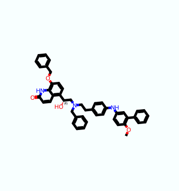 COc1ccc(Nc2ccc(CCN(Cc3ccccc3)C[C@H](O)c3ccc(OCc4ccccc4)c4[nH]c(=O)ccc34)cc2)cc1-c1ccccc1